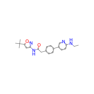 CCNc1ccc(-c2ccc(CC(=O)Nc3cc(C(C)(C)C)on3)cc2)cn1